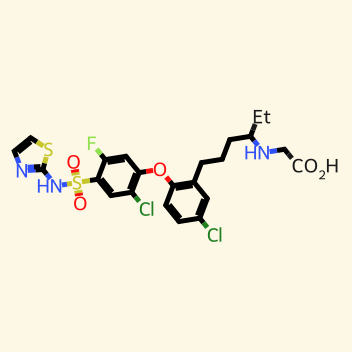 CCC(CCCc1cc(Cl)ccc1Oc1cc(F)c(S(=O)(=O)Nc2nccs2)cc1Cl)NCC(=O)O